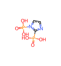 O=P(O)(O)c1nccn1P(=O)(O)O